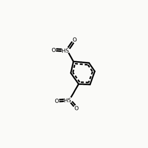 O=[SH](=O)c1cccc([SH](=O)=O)c1